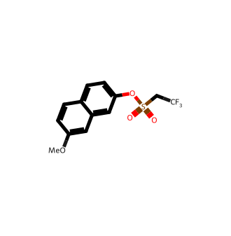 COc1ccc2ccc(OS(=O)(=O)CC(F)(F)F)cc2c1